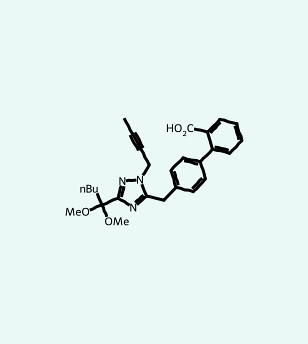 CC#CCn1nc(C(CCCC)(OC)OC)nc1Cc1ccc(-c2ccccc2C(=O)O)cc1